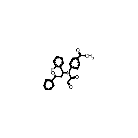 CC(=O)c1ccc(N(C(=O)C=O)C(CC(=O)c2ccccc2)c2ccccc2F)cc1